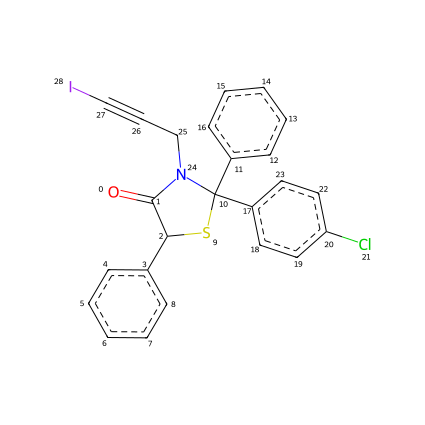 O=C1C(c2ccccc2)SC(c2ccccc2)(c2ccc(Cl)cc2)N1CC#CI